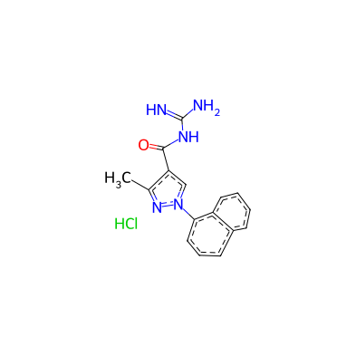 Cc1nn(-c2cccc3ccccc23)cc1C(=O)NC(=N)N.Cl